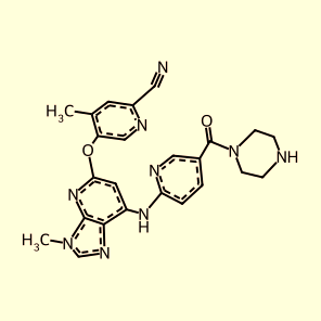 Cc1cc(C#N)ncc1Oc1cc(Nc2ccc(C(=O)N3CCNCC3)cn2)c2ncn(C)c2n1